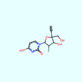 C#CC1(CO)OC(n2ccc(O)nc2=O)C(F)C1O